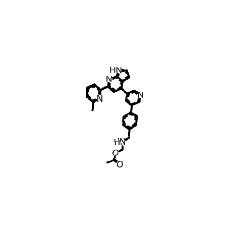 CC(=O)OCNCc1ccc(-c2cncc(-c3cc(-c4cccc(C)n4)nc4[nH]ccc34)c2)cc1